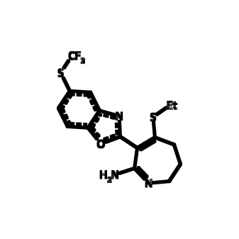 CCSC1=C(c2nc3cc(SC(F)(F)F)ccc3o2)C(N)=NCCC1